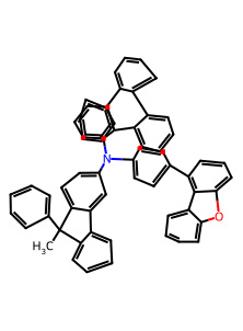 CC1(c2ccccc2)c2ccccc2-c2cc(N(c3ccc(-c4cccc5oc6ccccc6c45)cc3)c3ccccc3-c3ccccc3-c3ccccc3-c3ccccc3)ccc21